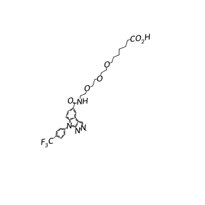 Cn1cc2c3cc(C(=O)NCCOCCOCCOCCCCCCC(=O)O)ccc3n(-c3ccc(C(F)(F)F)cc3)c2n1